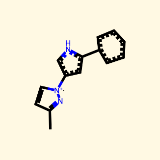 CC1=N[N+](c2c[nH]c(-c3ccccc3)c2)C=C1